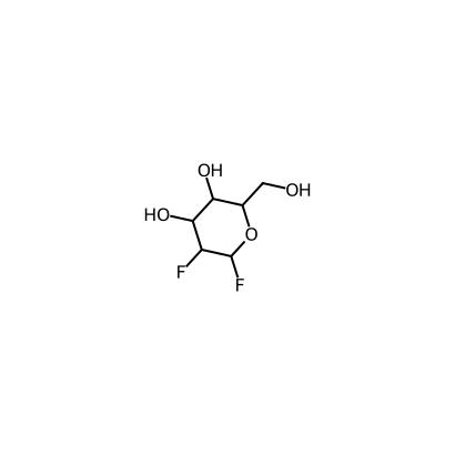 OCC1OC(F)C(F)C(O)C1O